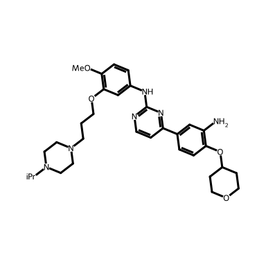 COc1ccc(Nc2nccc(-c3ccc(OC4CCOCC4)c(N)c3)n2)cc1OCCCN1CCN(C(C)C)CC1